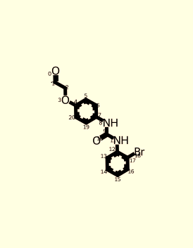 O=[C]COc1ccc(NC(=O)Nc2ccccc2Br)cc1